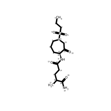 CCCS(=O)(=O)N1CCC[C@H](NC(=O)[CH]CC(C)C(N)=O)C(=O)C1